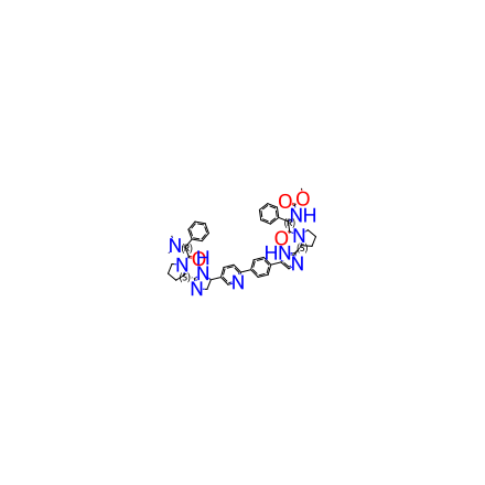 COC(=O)N[C@@H](C(=O)N1CCC[C@H]1c1ncc(-c2ccc(-c3ccc(C4CN=C([C@@H]5CCCN5C(=O)[C@@H](c5ccccc5)N(C)C)N4)cn3)cc2)[nH]1)c1ccccc1